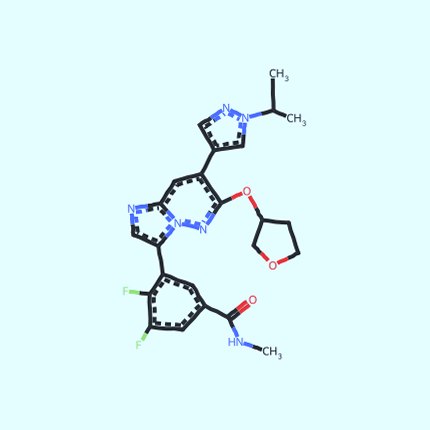 CNC(=O)c1cc(F)c(F)c(-c2cnc3cc(-c4cnn(C(C)C)c4)c(OC4CCOC4)nn23)c1